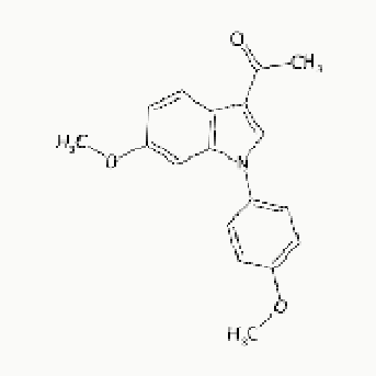 COc1ccc(-n2cc(C(C)=O)c3ccc(OC)cc32)cc1